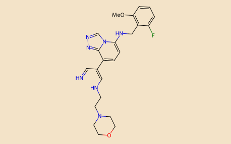 COc1cccc(F)c1CNc1ccc(/C(C=N)=C/NCCN2CCOCC2)c2nncn12